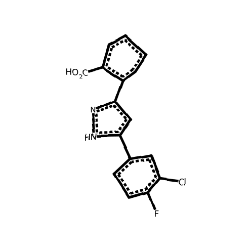 O=C(O)c1ccccc1-c1cc(-c2ccc(F)c(Cl)c2)[nH]n1